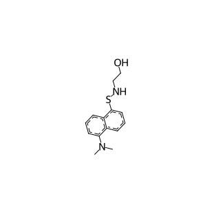 CN(C)c1cccc2c(SNCCO)cccc12